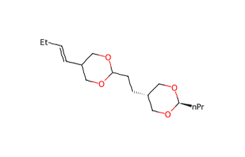 CC/C=C/C1COC(CC[C@H]2CO[C@H](CCC)OC2)OC1